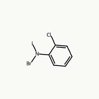 Clc1ccccc1N(Br)I